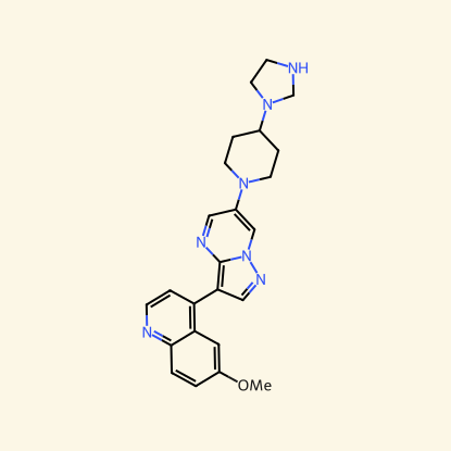 COc1ccc2nccc(-c3cnn4cc(N5CCC(N6CCNC6)CC5)cnc34)c2c1